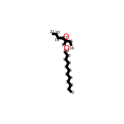 CCCCCCCCCCCCOCC1(CC)OC1CCC